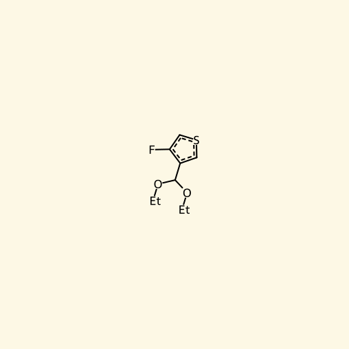 CCOC(OCC)c1cscc1F